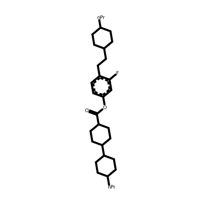 CCCC1CCC(CCc2ccc(OC(=O)C3CCC(C4CCC(CCC)CC4)CC3)cc2F)CC1